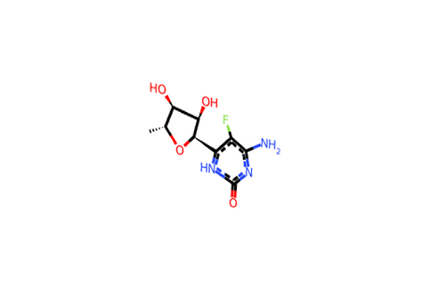 C[C@H]1O[C@H](c2[nH]c(=O)nc(N)c2F)[C@H](O)[C@@H]1O